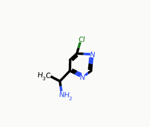 CC(N)c1cc(Cl)ncn1